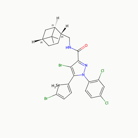 CC1(C)[C@@H]2CC[C@@H](CNC(=O)c3nn(-c4ccc(Cl)cc4Cl)c(C4=CC=C(Br)[SeH2]4)c3Br)[C@@H]1C2